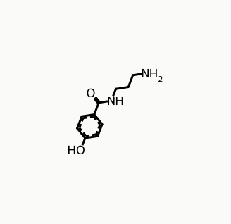 NCCCNC(=O)c1ccc(O)cc1